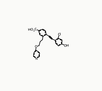 O=C(O)c1ccc(C#Cc2ccc(O)cc2Cl)c(CCCOc2ccncc2)c1